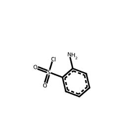 Nc1ccccc1S(=O)(=O)Cl